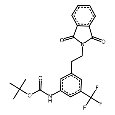 CC(C)(C)OC(=O)Nc1cc(CCN2C(=O)c3ccccc3C2=O)cc(C(F)(F)F)c1